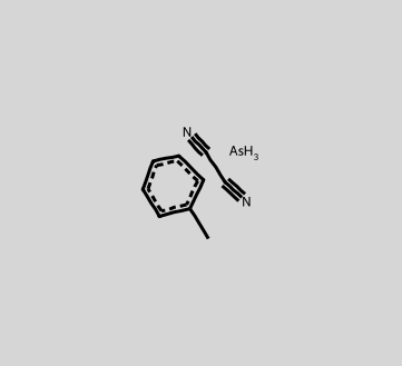 Cc1ccccc1.N#CC#N.[AsH3]